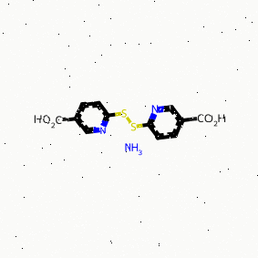 N.O=C(O)c1ccc(SSc2ccc(C(=O)O)cn2)nc1